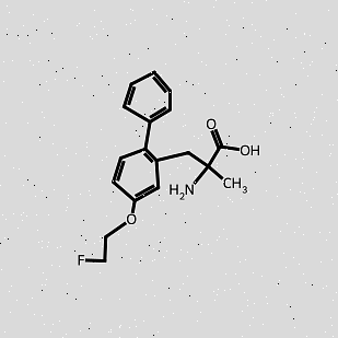 CC(N)(Cc1cc(OCCF)ccc1-c1ccccc1)C(=O)O